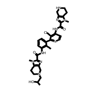 Cc1c(NC(=O)c2nc3c(n2C)CCN(CC(C)O)C3)cccc1-c1nccc(NC(=O)c2nc3c(n2C)CCNC3)c1Cl